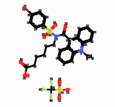 Cn1c2ccccc2[c+](C(=O)N(CCCCCC(=O)O)S(=O)(=O)c2ccc(Br)cc2)c2ccccc21.O=S(=O)([O-])C(F)(F)F